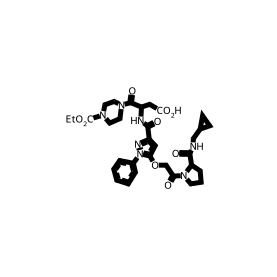 CCOC(=O)N1CCN(C(=O)C(CC(=O)O)NC(=O)c2cc(OCC(=O)N3CCCC3C(=O)NCC3CC3)n(-c3ccccc3)n2)CC1